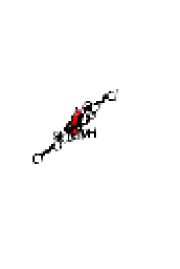 NOC12CCC(=O)[C@H](O)[C@@]13CCN(C(=O)OCCCCl)[C@@H]2Cc1ccc(OC(=O)OCCCCl)c(O)c13